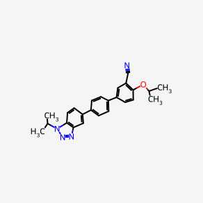 CC(C)Oc1ccc(-c2ccc(-c3ccc4c(c3)nnn4C(C)C)cc2)cc1C#N